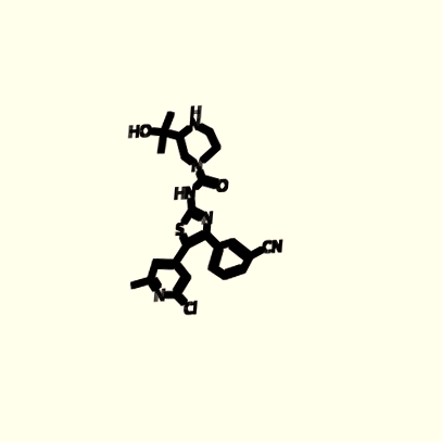 Cc1cc(-c2sc(NC(=O)N3CCNC(C(C)(C)O)C3)nc2-c2cccc(C#N)c2)cc(Cl)n1